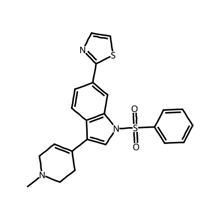 CN1CC=C(c2cn(S(=O)(=O)c3ccccc3)c3cc(-c4nccs4)ccc23)CC1